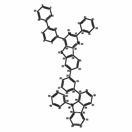 c1ccc(-c2cccc(-c3nc(-c4ccccc4)nc4c3sc3cc(-c5cccc(-c6cccc7c8ccccc8n(-c8ccccc8)c67)c5)ccc34)c2)cc1